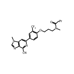 CC(C)C(=O)N(C)CCCOc1ccc(-c2cc3c(ncn3C)c(C#N)n2)cc1C(F)(F)F